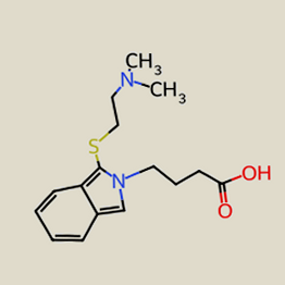 CN(C)CCSc1c2ccccc2cn1CCCC(=O)O